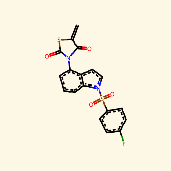 C=C1SC(=O)N(c2cccc3c2ccn3S(=O)(=O)c2ccc(F)cc2)C1=O